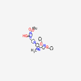 Cn1nc(-c2ccc(OCc3ccccc3)nc2OCc2ccccc2)c2ccc(N3CCC(CN4CCN(C(=O)OC(C)(C)C)C[C@@H]4CO)CC3)cc21